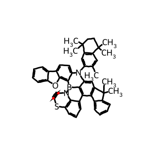 Cc1cc2c(cc1N1c3cc4c(c5c3B(c3c1ccc1c3oc3ccccc31)N1c3ccccc3Sc3cccc-5c31)-c1ccccc1C4(C)C)C(C)(C)CCC2(C)C